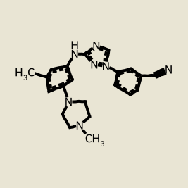 Cc1cc(Nc2ncn(-c3cccc(C#N)c3)n2)cc(N2CCN(C)CC2)c1